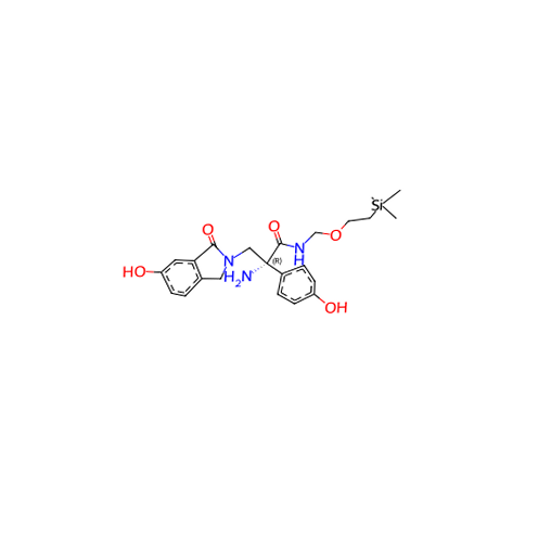 C[Si](C)(C)CCOCNC(=O)[C@](N)(CN1Cc2ccc(O)cc2C1=O)c1ccc(O)cc1